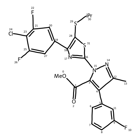 COC(=O)c1c(-c2cccc(F)c2)c(C)nn1-c1nc(-c2cc(F)c(Cl)c(F)c2)c(SC(C)C)s1